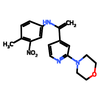 C=C(Nc1ccc(C)c([N+](=O)[O-])c1)c1ccnc(N2CCOCC2)c1